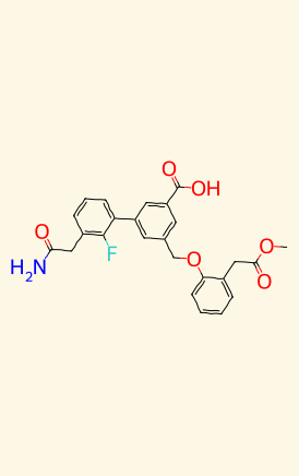 COC(=O)Cc1ccccc1OCc1cc(C(=O)O)cc(-c2cccc(CC(N)=O)c2F)c1